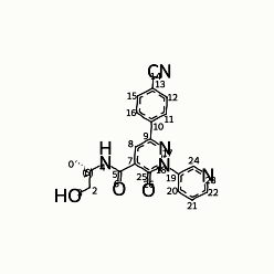 C[C@@H](CO)NC(=O)c1cc(-c2ccc(C#N)cc2)nn(-c2cccnc2)c1=O